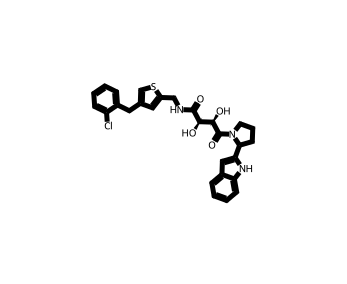 O=C(NCc1cc(Cc2ccccc2Cl)cs1)[C@H](O)[C@@H](O)C(=O)N1CCCC1c1cc2ccccc2[nH]1